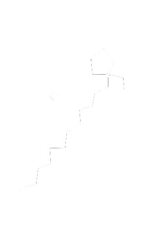 CCCCCCCCCCCC[N+]1(CC)CCCC1.[C-]#N